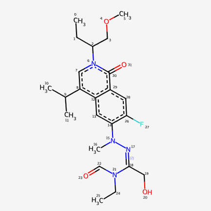 CCC(COC)n1cc(C(C)C)c2cc(N(C)/N=C(/CO)N(C=O)CC)c(F)cc2c1=O